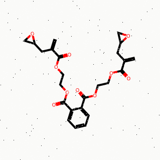 C=C(CC1CO1)C(=O)OCCOC(=O)c1ccccc1C(=O)OCCOC(=O)C(=C)CC1CO1